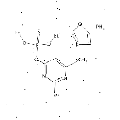 CCOP(=S)(OCC)Oc1cc(C)nc(C(C)C)n1.P.c1cocn1